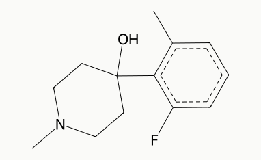 Cc1cccc(F)c1C1(O)CCN(C)CC1